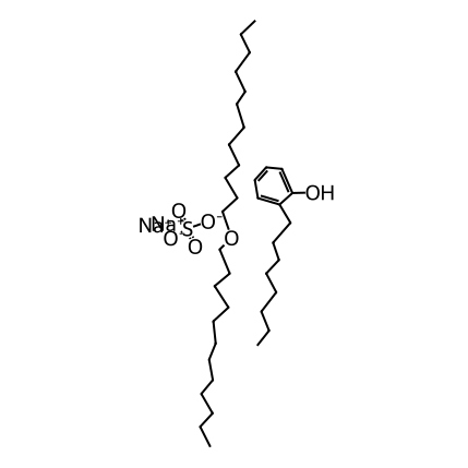 CCCCCCCCCCCCOCCCCCCCCCCCC.CCCCCCCCc1ccccc1O.O=S(=O)([O-])[O-].[Na+].[Na+]